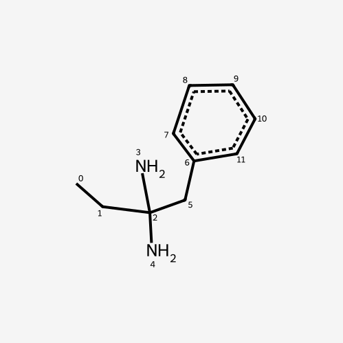 CCC(N)(N)Cc1ccccc1